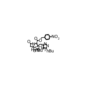 CCCCc1nnn(C[C@@]2(C)[C@H](C(=O)OCc3ccc([N+](=O)[O-])cc3)N3C(=O)C[C@@H]3S2(=O)=O)c1CCCC